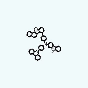 c1ccc2c(c1)ccc1c2oc2cccc(-c3ccc(N(c4ccc(-n5c6ccccc6c6ccccc65)cc4)c4ccc5c(c4)sc4ccccc45)cc3)c21